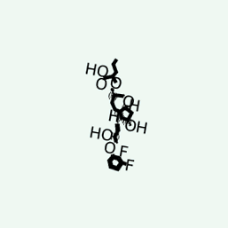 CCCC(OC[C@@H]1CC[C@@H]2[C@@H](C=C[C@@H](O)COc3cccc(F)c3F)[C@H](O)C[C@@H]2OC1)C(=O)O